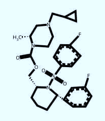 C[C@@H]1CN(CC2CC2)CCN1C(=O)OC[C@H]1CCC[C@@H](c2cccc(F)c2)N1S(=O)(=O)c1ccc(F)cc1